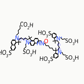 CC1(C)C(/C=C/C=C2/N(CCCS(=O)(=O)O)c3ccc(S(=O)(=O)O)cc3C2(C)CCCCCC(=O)NCc2ccc3c4c(ccc3c2)[N+](CCCS(=O)(=O)O)=C(/C=C/C=C2/N(CCCCCC(=O)O)c3ccc5cc(S(=O)(=O)O)ccc5c3C2(C)C)C4(C)C)=[N+](CCCS(=O)(=O)O)c2ccc(S(=O)(=O)O)cc21